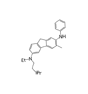 CCN(CCC(C)C)c1ccc2c(c1)-c1cc(C)c(Nc3ccccc3)cc1C2